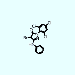 O=C1C(Br)C(Nc2ccccc2)=NN1c1c(Cl)cc(Cl)cc1Cl